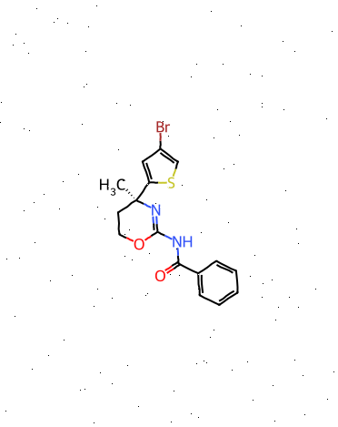 C[C@@]1(c2cc(Br)cs2)CCOC(NC(=O)c2ccccc2)=N1